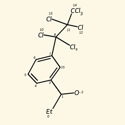 CCC([O])c1cccc(C(Cl)(Cl)C(Cl)(Cl)C(Cl)(Cl)Cl)c1